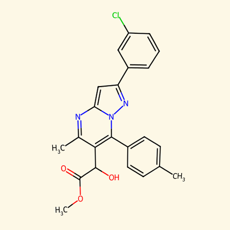 COC(=O)C(O)c1c(C)nc2cc(-c3cccc(Cl)c3)nn2c1-c1ccc(C)cc1